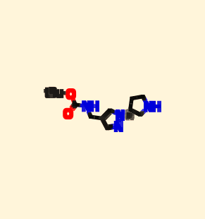 CC(C)(C)OC(=O)NCc1cnn([C@@H]2CCNC2)c1